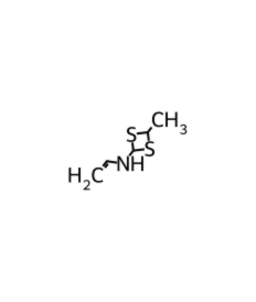 C=CNC1SC(C)S1